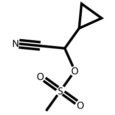 CS(=O)(=O)OC(C#N)C1CC1